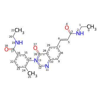 CCNC(=O)C=Cc1ccc2ncn(-c3cc(C(=O)NCC)ccc3C)c(=O)c2c1